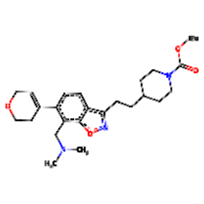 CN(C)Cc1c(C2=CCOCC2)ccc2c(CCC3CCN(C(=O)OC(C)(C)C)CC3)noc12